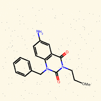 COCCn1c(=O)c2cc(N)ccc2n(Cc2ccccc2)c1=O